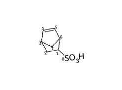 O=S(=O)(O)C1CC2C=CC1C2